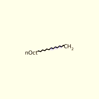 C=C/C=C/C=C/C=C/CCCCCCCCCCCCCC